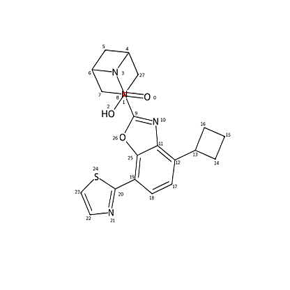 O=C(O)N1C2CC1CN(c1nc3c(C4CCC4)ccc(-c4nccs4)c3o1)C2